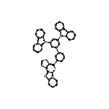 C1=Cc2c(c(-c3cccc(-c4cc(-n5c6ccccc6c6ccccc65)cc(-n5c6ccccc6c6ccccc65)c4)c3)nc3c2nc2ccccn23)C1